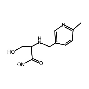 Cc1ccc(CNC(CO)C(=O)N=O)cn1